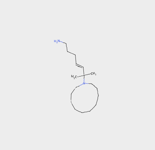 CC(C)(C=CCCCN)N1CCCCCCCCCC1